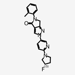 Cc1ccccc1N1Cc2nn(-c3ccc(N4CC[C@H](F)C4)nc3)cc2C1=O